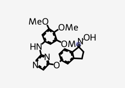 COc1cc(Nc2cncc(Oc3ccc4c(c3)CC/C4=N\O)n2)cc(OC)c1OC